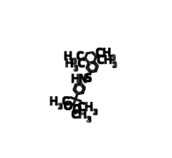 CCC(CC)(C(=O)OC)c1ccc(NSc2ccc3c(c2)C(C)(C)CCC3(C)C)cc1